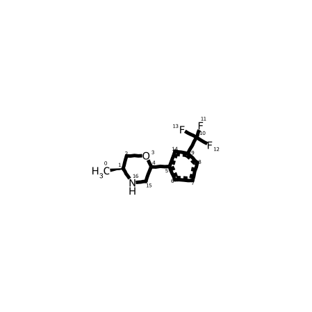 C[C@H]1COC(c2cccc(C(F)(F)F)c2)CN1